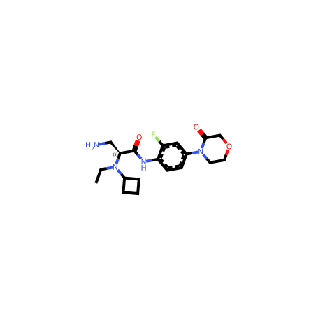 CCN(C1CCC1)[C@@H](CN)C(=O)Nc1ccc(N2CCOCC2=O)cc1F